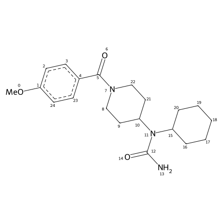 COc1ccc(C(=O)N2CCC(N(C(N)=O)C3CCCCC3)CC2)cc1